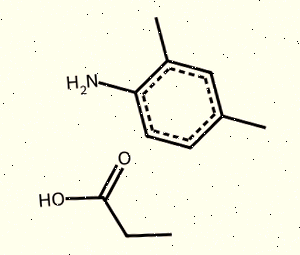 CCC(=O)O.Cc1ccc(N)c(C)c1